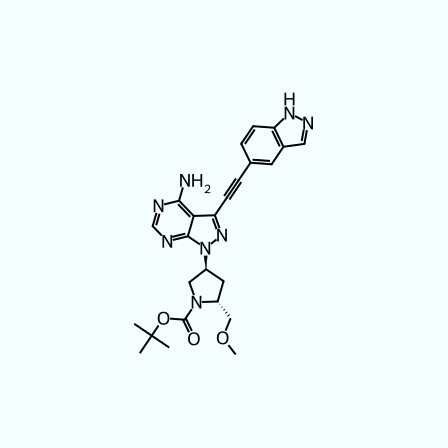 COC[C@H]1C[C@H](n2nc(C#Cc3ccc4[nH]ncc4c3)c3c(N)ncnc32)CN1C(=O)OC(C)(C)C